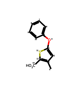 Cc1cc(Oc2ccccc2)sc1C(=O)O